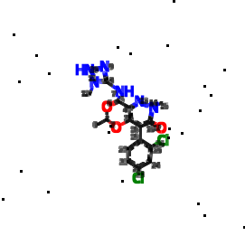 CCOc1c(C(=O)Nc2n[nH]n2C)nn(C)c(=O)c1-c1ccc(Cl)cc1Cl